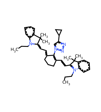 CCCN1/C(=C/C=C2\CCCC(/C=C/C3=[N+](CCC)c4ccccc4C3(C)C)=C2n2cc(C3CC3)nn2)C(C)(C)c2ccccc21